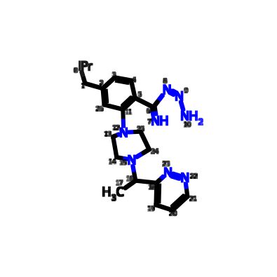 CC(C)Cc1ccc(C(=N)/N=N\N)c(N2CCN(C(C)c3cccnn3)CC2)c1